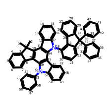 CC1(C)c2ccccc2-c2c1c1c3ccccc3n(-c3cccc4c3-c3ccccc3C4(c3ccccc3)c3ccccc3)c1c1c3ccccc3n(-c3ccccc3)c21